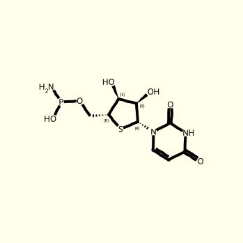 NP(O)OC[C@H]1S[C@@H](n2ccc(=O)[nH]c2=O)[C@H](O)[C@@H]1O